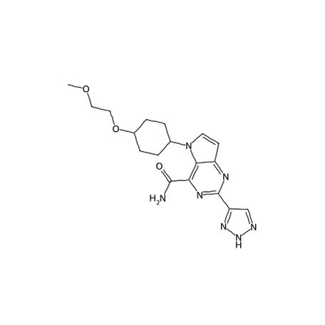 COCCOC1CCC(n2ccc3nc(-c4cn[nH]n4)nc(C(N)=O)c32)CC1